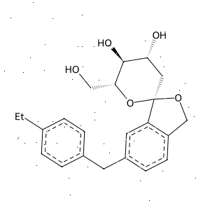 CCc1ccc(Cc2ccc3c(c2)[C@]2(C[C@@H](O)[C@H](O)[C@@H](CO)O2)OC3)cc1